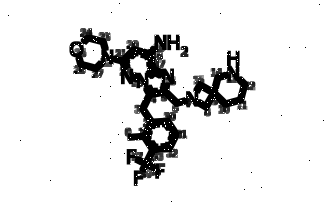 Cc1c(Cc2c(CN3CC4(CCCNC4)C3)nc3c(N)cc(N4CCOCC4)nn23)cccc1C(F)(F)F